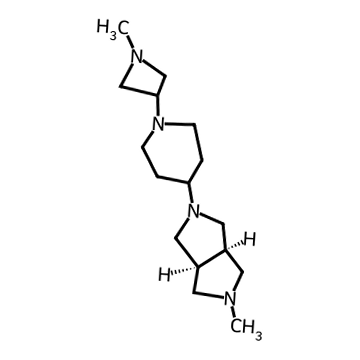 CN1CC(N2CCC(N3C[C@H]4CN(C)C[C@H]4C3)CC2)C1